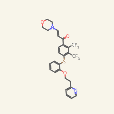 O=C(C=CN1CCOCC1)c1ccc(Sc2ccccc2OCCc2ccccn2)c(C(F)(F)F)c1C(F)(F)F